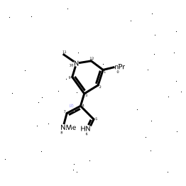 CCCC1=CC(/C(C=N)=C/NC)=CN(C)C1